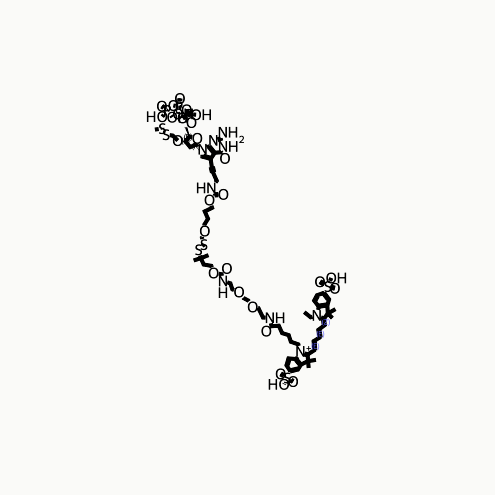 CCN1\C(=C/C=C/C=C/C2=[N+](CCCCCC(=O)NCCOCCOCCNC(=O)OCCC(C)(C)SSCOCCCCOC(=O)NCC#Cc3cn([C@H]4C[C@H](OCSSC)[C@@H](COP(=O)(O)OP(=O)(O)OP(=O)(O)O)O4)c4nc(N)[nH]c(=O)c34)c3ccc(S(=O)(=O)O)cc3C2(C)C)C(C)(C)c2cc(S(=O)(=O)O)ccc21